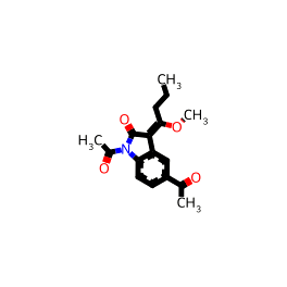 CCCC(OC)=C1C(=O)N(C(C)=O)c2ccc(C(C)=O)cc21